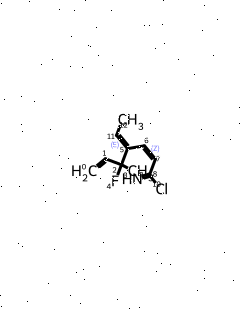 C=CC(C)(F)C(/C=C\C(=N)Cl)=C/C